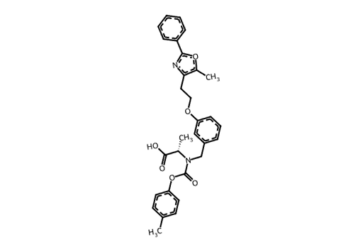 Cc1ccc(OC(=O)N(Cc2cccc(OCCc3nc(-c4ccccc4)oc3C)c2)[C@@H](C)C(=O)O)cc1